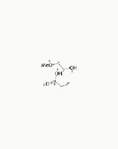 CCC(=O)O.COCCO